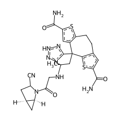 C[C@@H](CC1(c2nn[nH]n2)c2cc(C(N)=O)sc2CCc2cc(C(N)=O)sc21)NCC(=O)N1C(C#N)C[C@@H]2C[C@@H]21